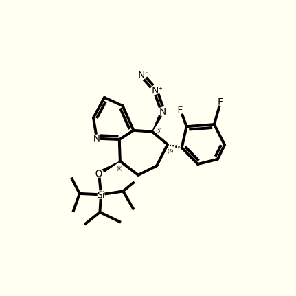 CC(C)[Si](O[C@@H]1CC[C@@H](c2cccc(F)c2F)[C@H](N=[N+]=[N-])c2cccnc21)(C(C)C)C(C)C